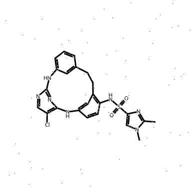 Cc1nc(S(=O)(=O)Nc2ccc3cc2CCc2cccc(c2)Nc2ncc(Cl)c(n2)N3)cn1C